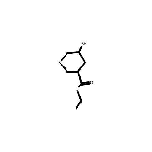 CCOC(=O)C1CSCC(S)C1